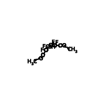 CCCCOC1CC=C(c2ccc(OBOc3ccc(C4=CCC(OCCCC)CC4)c(F)c3F)c(F)c2F)CC1